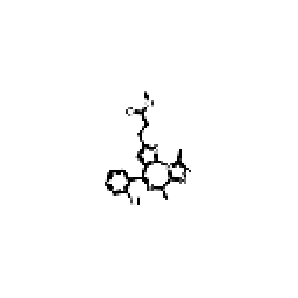 COC(=O)CCc1cc2c(s1)-n1c(C)nnc1C(C)N=C2c1ccccc1Cl